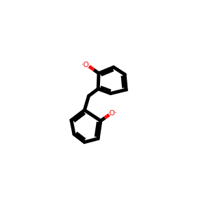 [O]c1ccccc1Cc1ccccc1[O]